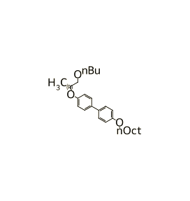 CCCCCCCCOc1ccc(-c2ccc(O[C@H](C)COCCCC)cc2)cc1